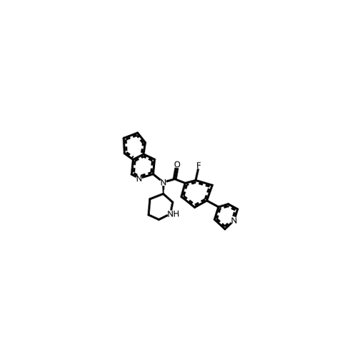 O=C(c1ccc(-c2ccncc2)cc1F)N(c1cc2ccccc2cn1)[C@@H]1CCCNC1